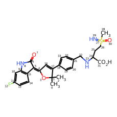 CC1(C)O/C(=C2/C(=O)Nc3cc(F)ccc32)C=C1c1ccc(CNC(CCS(C)(=N)=O)C(=O)O)cc1